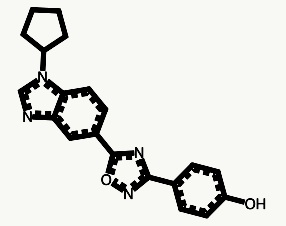 Oc1ccc(-c2noc(-c3ccc4c(c3)ncn4C3CCCC3)n2)cc1